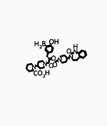 Bc1cc(C[C@@H](OC(=O)N2CCC(N3CCc4ccccc4NC3=O)CC2)C(=O)N2CCC(N3CCCCC3C(=O)O)CC2)ccc1O